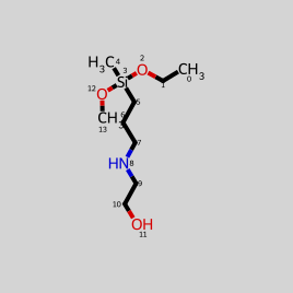 CCO[Si](C)(CCCNCCO)OC